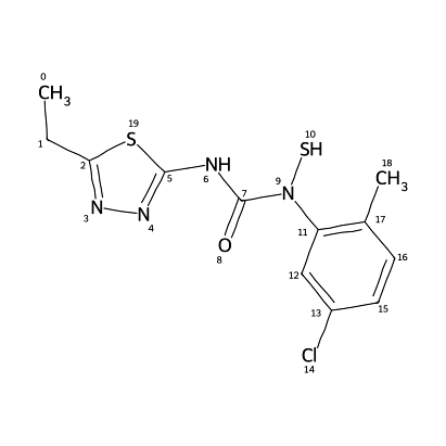 CCc1nnc(NC(=O)N(S)c2cc(Cl)ccc2C)s1